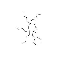 CCCCC1(CCCC)COC(CCCC)(CCCC)C(CCCC)(CCCC)O1